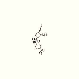 CNc1cc(S(=O)(=O)N[C@H]2CC[C@H](C(=O)OC)CC2)ccc1C#CI